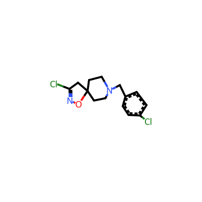 ClC1=NOC2(CCN(Cc3ccc(Cl)cc3)CC2)C1